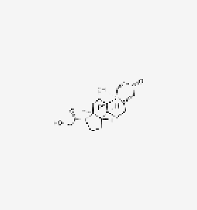 C[C@]12C[C@H](O)[C@@]3(F)[C@@H](CCC4=CC(=O)C=C[C@@]43C)[C@@H]1CC[C@@H]2C(=O)CO